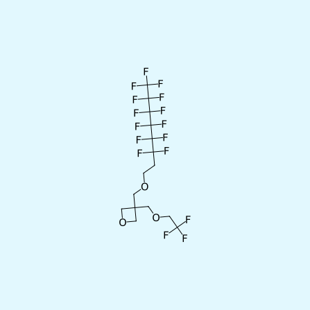 FC(F)(F)COCC1(COCCC(F)(F)C(F)(F)C(F)(F)C(F)(F)C(F)(F)C(F)(F)F)COC1